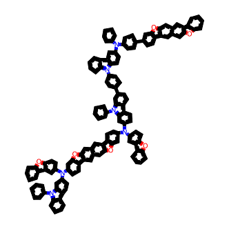 c1ccc(N(c2ccc(-c3ccc4c(c3)oc3cc5cc6c(cc5cc34)oc3ccccc36)cc2)c2ccc3c(c2)c2ccccc2n3-c2ccc(-c3ccc4c5ccc(N(c6ccc7c(c6)oc6cc8cc9c(cc8cc67)oc6cc(N(c7ccc8oc%10ccccc%10c8c7)c7ccc8c%10ccccc%10n(-c%10ccccc%10)c8c7)ccc69)c6ccc7oc8ccccc8c7c6)cc5n(-c5ccccc5)c4c3)cc2)cc1